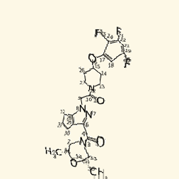 C[C@@H]1CN(C(=O)c2nn(CC(=O)N3CCC(Oc4cc(F)cc(F)c4F)CC3)c3c2CCC3)C[C@H](C)O1